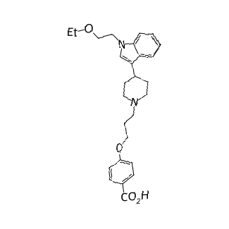 CCOCCn1cc(C2CCN(CCCOc3ccc(C(=O)O)cc3)CC2)c2ccccc21